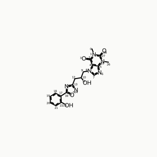 Cn1c(=O)c2c(ncn2CC(O)Cc2noc(-c3ccccc3O)n2)n(C)c1=O